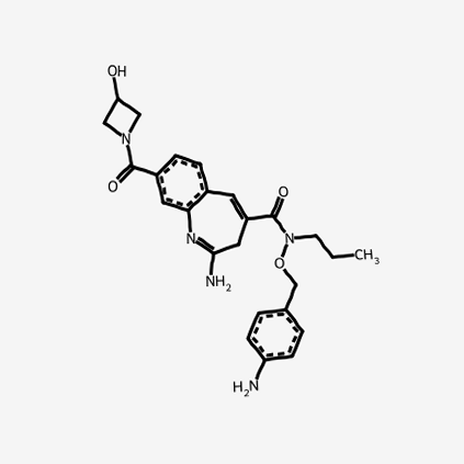 CCCN(OCc1ccc(N)cc1)C(=O)C1=Cc2ccc(C(=O)N3CC(O)C3)cc2N=C(N)C1